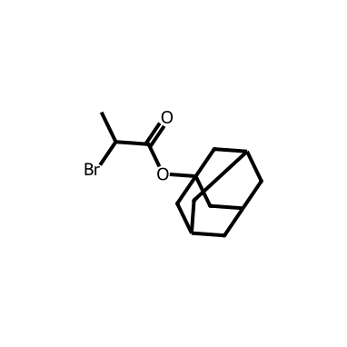 CC(Br)C(=O)OC12CC3CC(CC(C3)C1)C2